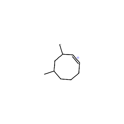 [CH2]C1/C=C\CCCC(C)C1